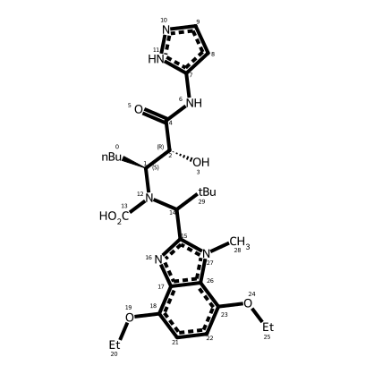 CCCC[C@@H]([C@@H](O)C(=O)Nc1ccn[nH]1)N(C(=O)O)C(c1nc2c(OCC)ccc(OCC)c2n1C)C(C)(C)C